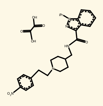 CC(C)n1nc(C(=O)NCC2CCN(CCc3ccc([N+](=O)[O-])cc3)CC2)c2ccccc21.O=C(O)C(=O)O